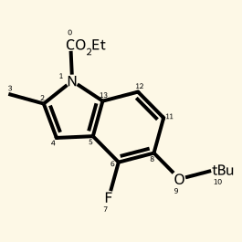 CCOC(=O)n1c(C)cc2c(F)c(OC(C)(C)C)ccc21